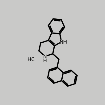 Cl.c1ccc2c(CC3NCCc4c3[nH]c3ccccc43)cccc2c1